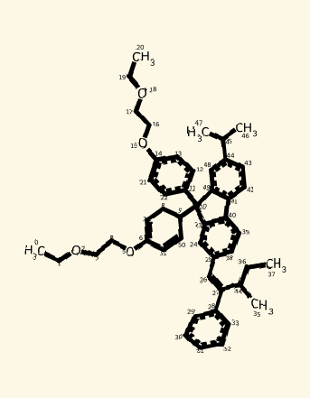 CCOCCOC1=CCC(C2(c3ccc(OCCOCC)cc3)c3cc(C=C(c4ccccc4)C(C)CC)ccc3-c3ccc(C(C)C)cc32)C=C1